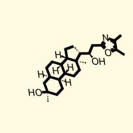 Cc1nc(C[C@@H](O)[C@H]2CC[C@H]3[C@@H]4CC[C@@H]5C[C@](C)(O)CC[C@@H]5[C@H]4CC[C@]23C)oc1C